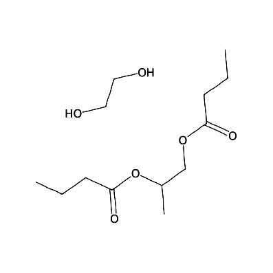 CCCC(=O)OCC(C)OC(=O)CCC.OCCO